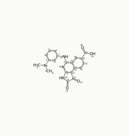 CN(C)c1cccc(Nc2nc3c(c4ccc(C(=O)O)cc24)C(=O)C(=O)N3)c1